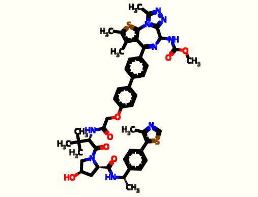 COC(=O)NC1N=C(c2ccc(-c3ccc(OCC(=O)N[C@H](C(=O)N4C[C@H](O)C[C@H]4C(=O)N[C@@H](C)c4ccc(-c5scnc5C)cc4)C(C)(C)C)cc3)cc2)c2c(sc(C)c2C)-n2c(C)nnc21